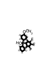 COc1ccc(C(O)(c2ccccc2)c2c(F)c(F)c(F)c(F)c2F)cc1